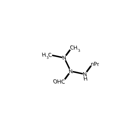 CCCNN(C=O)N(C)C